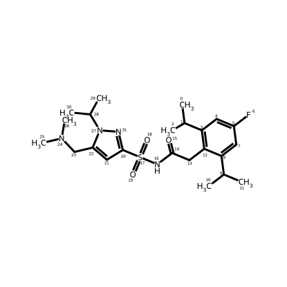 CC(C)c1cc(F)cc(C(C)C)c1CC(=O)NS(=O)(=O)c1cc(CN(C)C)n(C(C)C)n1